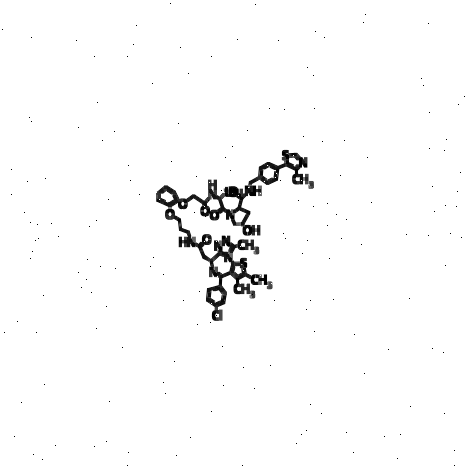 Cc1ncsc1-c1ccc(CNC(=O)C2C[C@@H](O)CN2C(=O)C(NC(=O)COc2ccccc2OCCCNC(=O)C[C@@H]2N=C(c3ccc(Cl)cc3)c3c(sc(C)c3C)-n3c(C)nnc32)C(C)(C)C)cc1